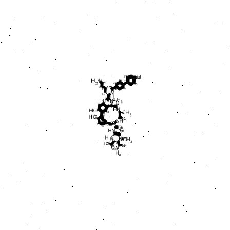 C[C@@H]1NC(=O)[C@@H](N(C)C(=O)[C@H](CCCCN)NC(=O)c2ccc(-c3ccc(Cl)cc3)cc2)c2ccc(O)c(c2)-c2cc(ccc2O)C[C@@H](C(=O)N[C@@H](C)C(=O)N(C)[C@@H](CC(=O)O)C(N)=O)NC1=O